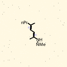 CCC/C(C)=C/C=C(\C)NNC